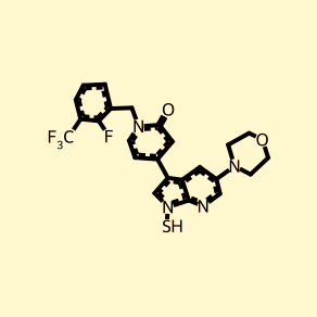 O=c1cc(-c2cn(S)c3ncc(N4CCOCC4)cc23)ccn1Cc1cccc(C(F)(F)F)c1F